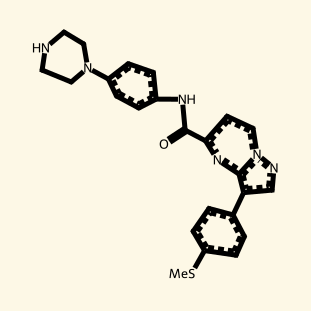 CSc1ccc(-c2cnn3ccc(C(=O)Nc4ccc(N5CCNCC5)cc4)nc23)cc1